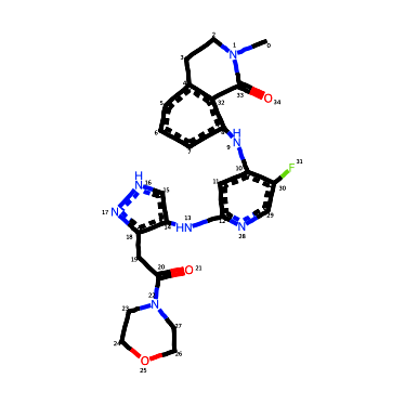 CN1CCc2cccc(Nc3cc(Nc4c[nH]nc4CC(=O)N4CCOCC4)ncc3F)c2C1=O